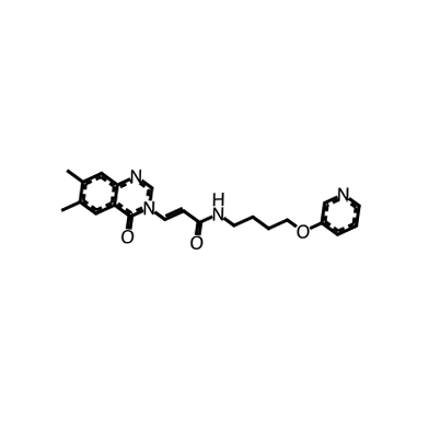 Cc1cc2ncn(C=CC(=O)NCCCCOc3cccnc3)c(=O)c2cc1C